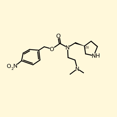 CN(C)CCN(C[C@H]1CCNC1)C(=O)OCc1ccc([N+](=O)[O-])cc1